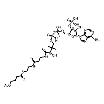 CC(=O)OCCCC(=O)SCCNC(=O)CCNC(=O)[C@H](O)C(C)(C)COP(=O)(O)OP(=O)(O)OC[C@H]1O[C@@H](n2cnc3c(N)ncnc32)[C@H](O)[C@@H]1OP(=O)(O)O